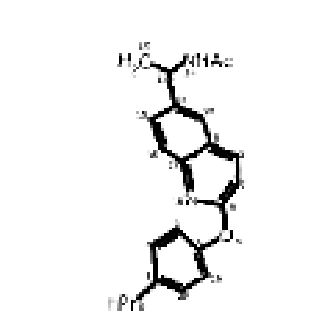 CCCc1ccc(Oc2ccc3cc(C(C)NC(C)=O)ccc3n2)cc1